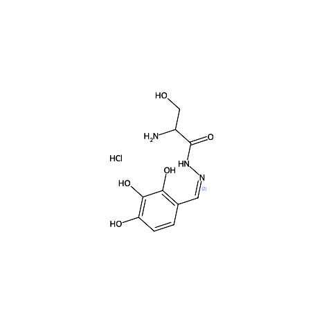 Cl.NC(CO)C(=O)N/N=C\c1ccc(O)c(O)c1O